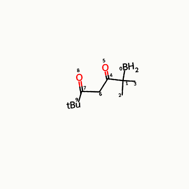 BC(C)(C)C(=O)CC(=O)C(C)(C)C